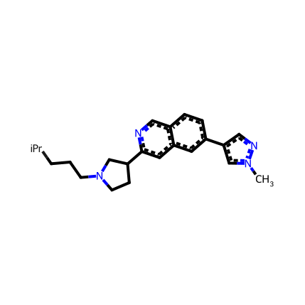 CC(C)CCCN1CCC(c2cc3cc(-c4cnn(C)c4)ccc3cn2)C1